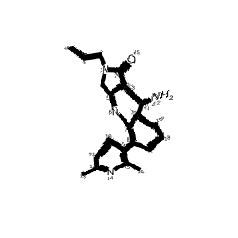 CCCN1Cc2nc3c(-c4ccc(C)nc4C)cccc3c(N)c2C1=O